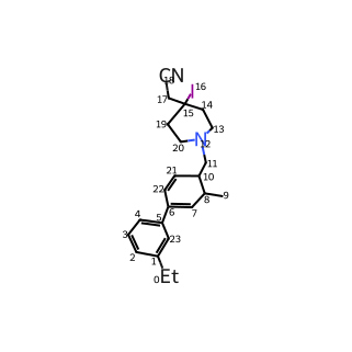 CCc1cccc(C2=CC(C)C(CN3CCC(I)(CC#N)CC3)C=C2)c1